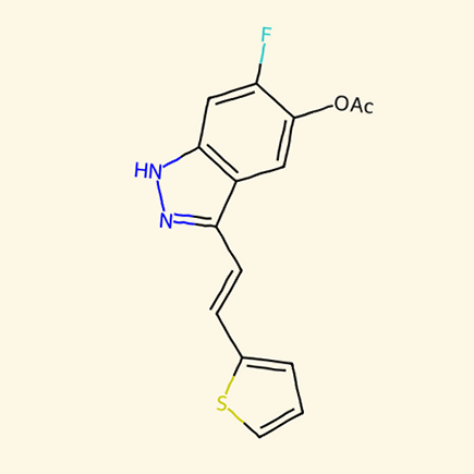 CC(=O)Oc1cc2c(/C=C/c3cccs3)n[nH]c2cc1F